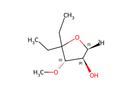 [3H][C@@H]1OC(CC)(CC)[C@@H](OC)[C@@H]1O